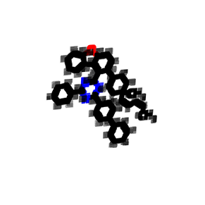 C/C=C\C=C/C1(C)CC=C(c2ccc3oc4ccccc4c3c2-c2nc(-c3ccccc3)nc(-c3ccc(C4=CCCC=C4)cc3)n2)CC1